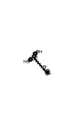 [O-][S+](CCCCCCCCCC1Oc2cc(O)ccc2CC1c1ccc(O)cc1)CCCC(F)(F)C(F)(F)F